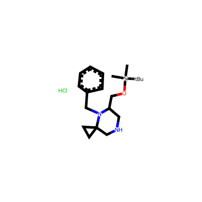 CC(C)(C)[Si](C)(C)OCC1CNCC2(CC2)N1Cc1ccccc1.Cl